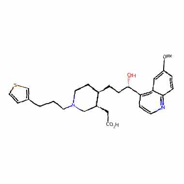 COc1ccc2nccc([C@@H](O)CC[C@@H]3CCN(CCCc4ccsc4)C[C@@H]3CC(=O)O)c2c1